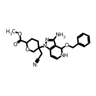 COC(=O)C1CCC(CC#N)(n2nc(N)c3c2C=CNC3OCc2ccccc2)CO1